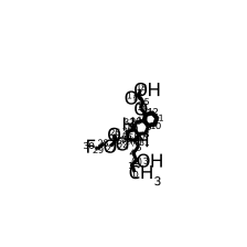 CC[C@H](O)CC[C@@H]1[C@H]2Cc3cccc(OCC(=O)O)c3C[C@H]2C[C@H]1OC(=O)OCCF